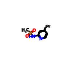 CC(C)c1ccnc(NS(C)(=O)=O)c1